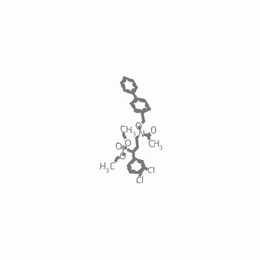 CCOP(=O)(OCC)C(CCN(OCc1ccc(-c2ccccc2)cc1)C(C)=O)c1ccc(Cl)c(Cl)c1